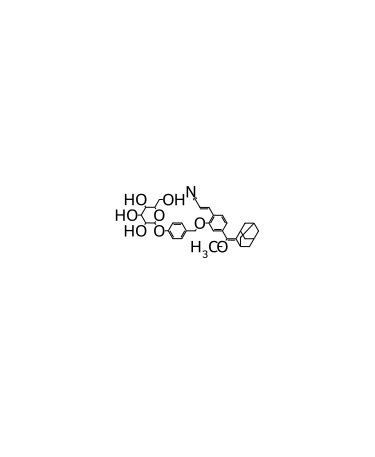 COC(=C1C2CC3CC(C2)CC1C3)c1ccc(/C=C/C#N)c(OCc2ccc(O[C@@H]3OC(CO)[C@H](O)C(O)C3O)cc2)c1